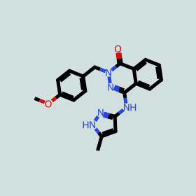 COc1ccc(Cn2nc(Nc3cc(C)[nH]n3)c3ccccc3c2=O)cc1